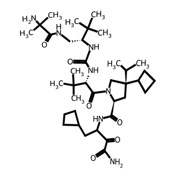 CC(C)[C@@]1(C2CCC2)C[C@@H](C(=O)NC(CC2CCC2)C(=O)C(N)=O)N(C(=O)[C@@H](NC(=O)N[C@H](CNC(=O)C(C)(C)N)C(C)(C)C)C(C)(C)C)C1